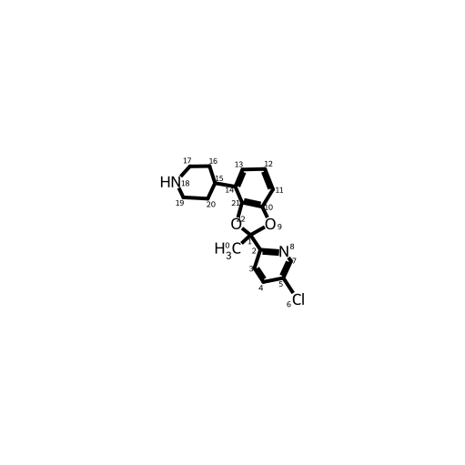 CC1(c2ccc(Cl)cn2)Oc2cccc(C3CCNCC3)c2O1